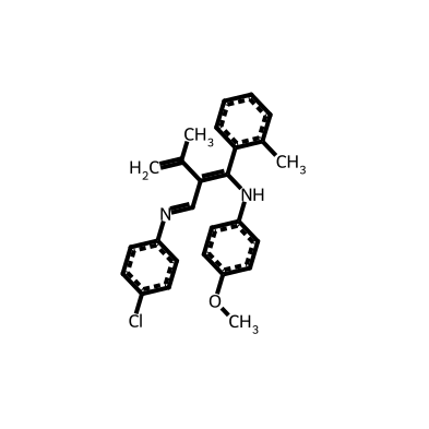 C=C(C)C(/C=N/c1ccc(Cl)cc1)=C(/Nc1ccc(OC)cc1)c1ccccc1C